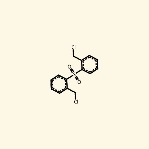 O=S(=O)(c1ccccc1CCl)c1ccccc1CCl